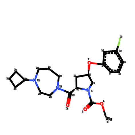 CC(C)(C)OC(=O)N1C[C@H](Oc2cccc(F)c2)C[C@H]1C(=O)N1CCCN(C2CCC2)CC1